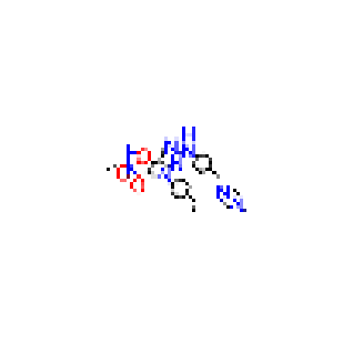 CCONC(=O)c1cn(-c2ccc(CC)cc2)c2nc(Nc3ccc(CCN4CCN(C)CC4)cc3)ncc2c1=O